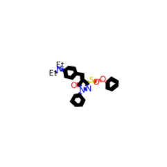 CCN(CC)c1ccc(/C=C2\C(=O)N(c3ccccc3)N=C2SOOc2ccccc2)cc1